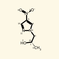 C[C@H](O)Cn1cc([N+](=O)[O-])cn1